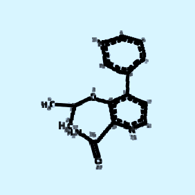 CC(C)Oc1c(-c2cccnc2)ccnc1C(N)=O